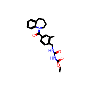 CCOC(=O)NC(=O)NCc1ccc(C(=O)N2CCCCc3ccccc32)cc1C